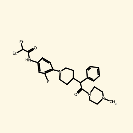 CCC(CC)C(=O)Nc1ccc(N2CCC(C(C(=O)N3CCN(C)CC3)c3ccccc3)CC2)c(F)c1